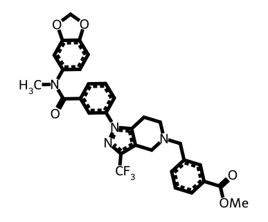 COC(=O)c1cccc(CN2CCc3c(c(C(F)(F)F)nn3-c3cccc(C(=O)N(C)c4ccc5c(c4)OCO5)c3)C2)c1